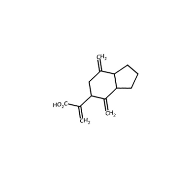 C=C(C(=O)O)C1CC(=C)C2CCCC2C1=C